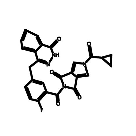 O=C(c1cc(Cc2n[nH]c(=O)c3ccccc23)ccc1F)N1C(=O)c2cn(C(=O)C3CC3)cc2C1=O